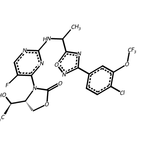 CC(Nc1ncc(F)c(N2C(=O)OC[C@@H]2[C@@H](C)O)n1)c1nc(-c2ccc(Cl)c(OC(F)(F)F)c2)no1